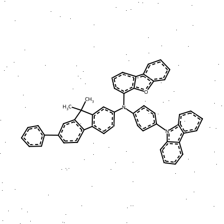 CC1(C)c2cc(-c3ccccc3)ccc2-c2ccc(N(c3ccc(-n4c5ccccc5c5ccccc54)cc3)c3cccc4c3oc3ccccc34)cc21